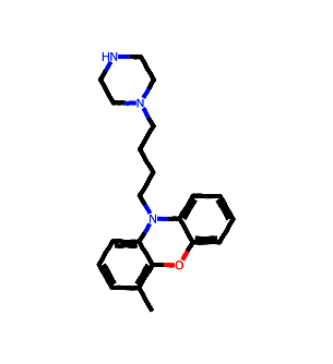 Cc1cccc2c1Oc1ccccc1N2CCCCN1CCNCC1